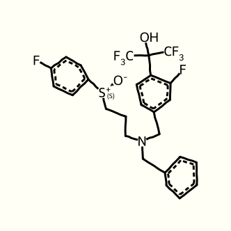 [O-][S@+](CCCN(Cc1ccccc1)Cc1ccc(C(O)(C(F)(F)F)C(F)(F)F)c(F)c1)c1ccc(F)cc1